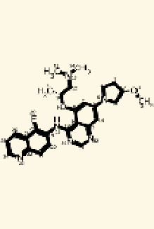 CO[C@H]1CCN(c2cc(O[C@H](C)CN(C)C)c3c(Nc4ccc5ncccc5c4F)ncnc3c2)C1